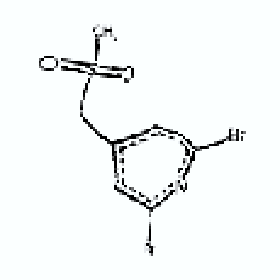 CS(=O)(=O)Cc1cc(Br)nc(Br)c1